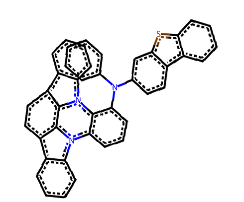 c1ccc(N(c2ccc3c(c2)sc2ccccc23)c2cccc3c2n2c4ccccc4c4ccc5c6ccccc6n3c5c42)cc1